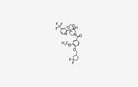 COc1cc(C(=O)N2CC[C@]3(c4cc(C(F)(F)F)ccn4)OCO[C@@H]3C2)ccc1OCC1CCC(F)(F)C1